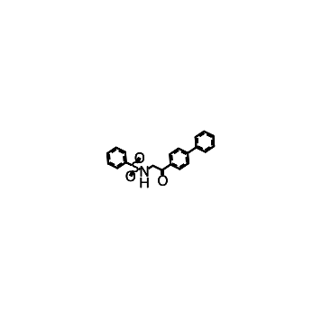 O=C(CNS(=O)(=O)c1ccccc1)c1ccc(-c2ccccc2)cc1